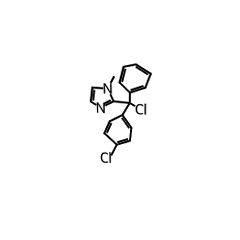 Cn1ccnc1C(Cl)(c1ccccc1)c1ccc(Cl)cc1